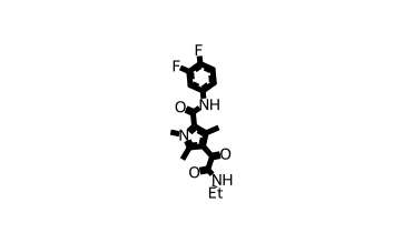 CCNC(=O)C(=O)c1c(C)c(C(=O)Nc2ccc(F)c(F)c2)n(C)c1C